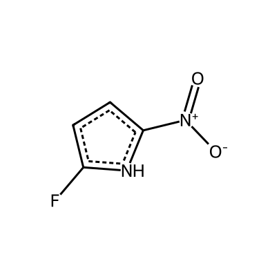 O=[N+]([O-])c1ccc(F)[nH]1